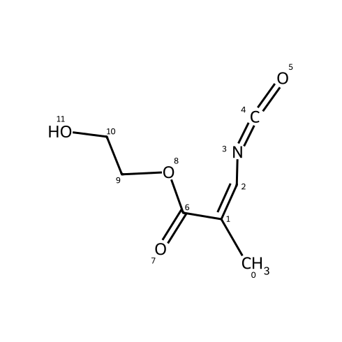 CC(=CN=C=O)C(=O)OCCO